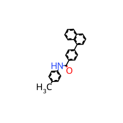 Cc1ccc(NC(=O)c2ccc(-c3cccc4ccccc34)cc2)cc1